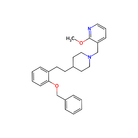 COc1ncccc1CN1CCC(CCc2ccccc2OCc2ccccc2)CC1